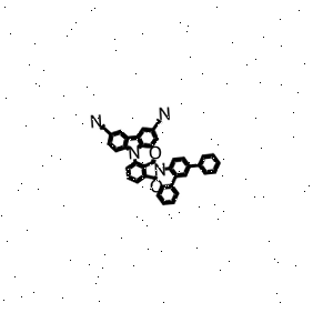 N#Cc1ccc2c(c1)c1cc(C#N)ccc1n2-c1cccc2c1C(=O)N(c1ccc(-c3ccccc3)cc1-c1ccccc1)C2=O